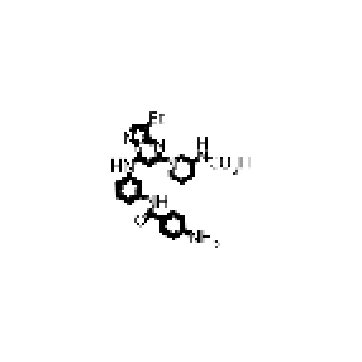 CCc1cnn2c(Nc3cccc(NC(=O)c4ccc(N)cc4)c3)cc(N3CCCC(NC(=O)O)C3)nc12